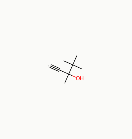 [C]#CC(C)(O)C(C)(C)C